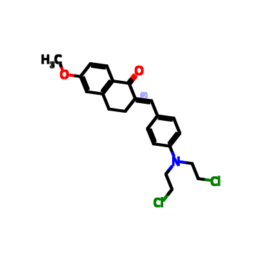 COc1ccc2c(c1)CC/C(=C\c1ccc(N(CCCl)CCCl)cc1)C2=O